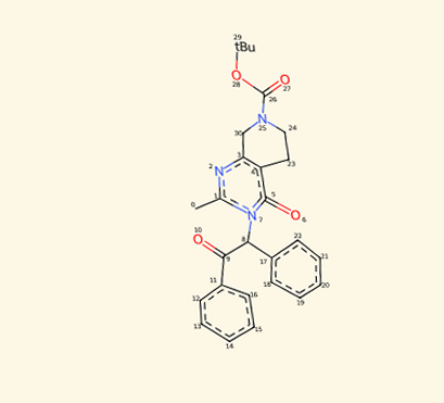 Cc1nc2c(c(=O)n1C(C(=O)c1ccccc1)c1ccccc1)CCN(C(=O)OC(C)(C)C)C2